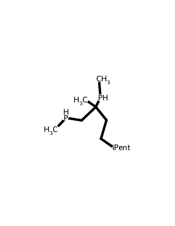 CCCC(C)CCC(C)(CPC)PC